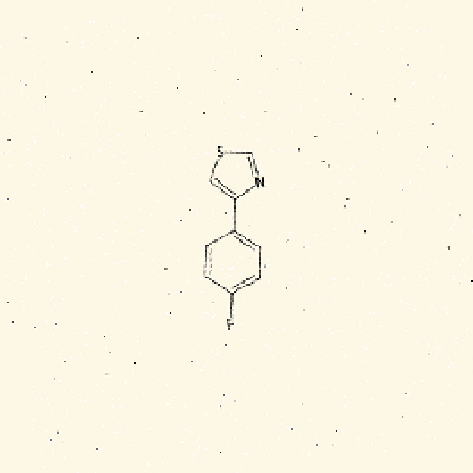 Fc1ccc(-c2cscn2)cc1